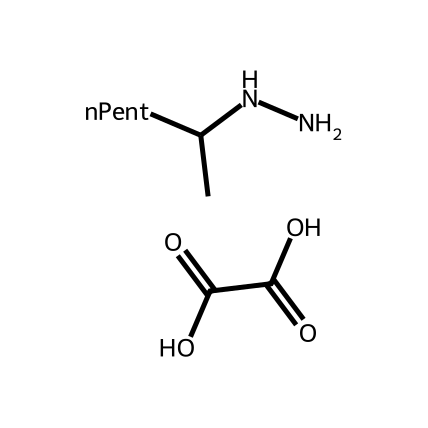 CCCCCC(C)NN.O=C(O)C(=O)O